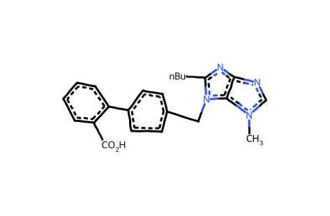 CCCCc1nc2ncn(C)c2n1Cc1ccc(-c2ccccc2C(=O)O)cc1